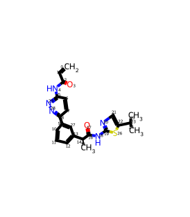 C=CC(=O)Nc1ccc(-c2cccc([C@H](C)C(=O)Nc3ncc(C(C)C)s3)c2)nn1